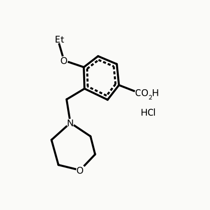 CCOc1ccc(C(=O)O)cc1CN1CCOCC1.Cl